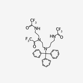 O=C(NCCCN(CCN(CCNC(=O)C(F)(F)F)C(=O)C(F)(F)F)C(c1ccccc1)(c1ccccc1)c1ccccc1)C(F)(F)F